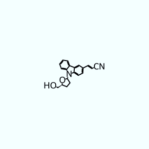 N#C/C=C/c1ccc2c(c1)c1ccccc1n2[C@H]1CC[C@@H](CO)O1